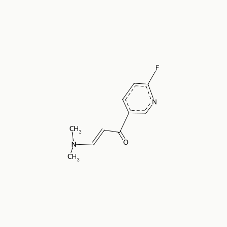 CN(C)C=CC(=O)c1ccc(F)nc1